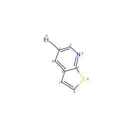 CCc1cnc2sccc2c1